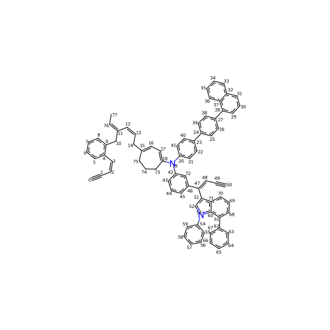 C#C/C=C\c1ccccc1CC(/C=C\CC1=CC=C(N(c2ccc(-c3ccc(-c4cccc5ccccc45)cc3)cc2)c2cccc(/C(=C/C#C)c3cn(-c4ccccc4)c4c(-c5ccccc5)cccc34)c2)CCC1)=C/C